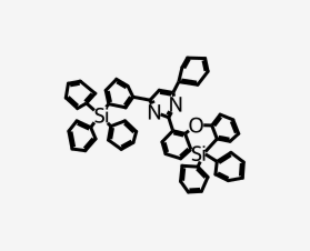 c1ccc(-c2cc(-c3cccc([Si](c4ccccc4)(c4ccccc4)c4ccccc4)c3)nc(-c3cccc4c3Oc3ccccc3[Si]4(c3ccccc3)c3ccccc3)n2)cc1